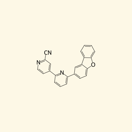 N#Cc1cc(-c2cccc(-c3ccc4oc5ccccc5c4c3)n2)ccn1